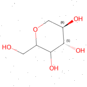 OCC1OC[C@@H](O)[C@H](O)C1O